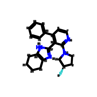 F[C@H]1CCN(c2nccc(-c3ccccc3)c2-c2nc3c([nH]2)CCCC3)C1